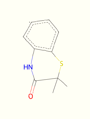 CC1(C)Sc2cc[c]cc2NC1=O